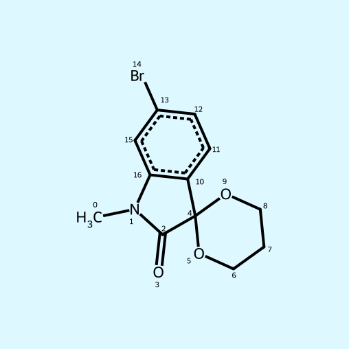 CN1C(=O)C2(OCCCO2)c2ccc(Br)cc21